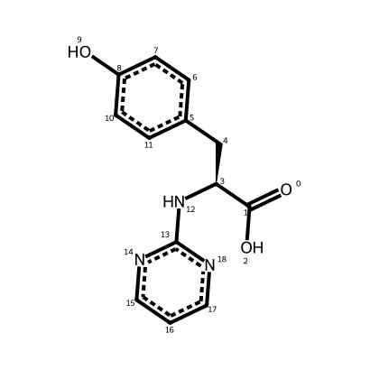 O=C(O)[C@H](Cc1ccc(O)cc1)Nc1ncccn1